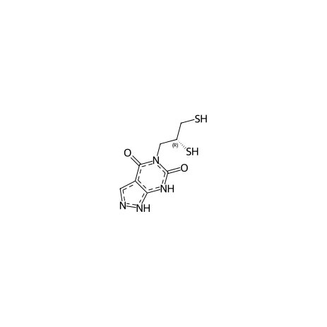 O=c1[nH]c2[nH]ncc2c(=O)n1C[C@@H](S)CS